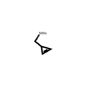 CNCC1C=C1